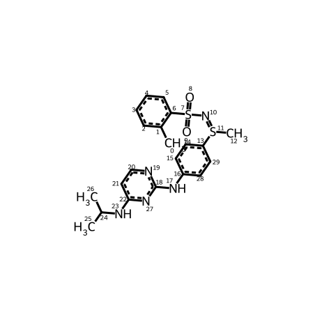 Cc1ccccc1S(=O)(=O)N=S(C)c1ccc(Nc2nccc(NC(C)C)n2)cc1